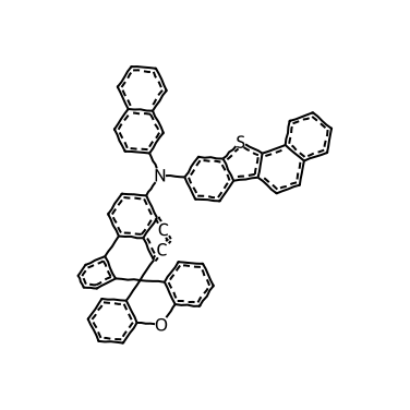 c1ccc2c(c1)Oc1ccccc1C21c2ccccc2-c2ccc(N(c3ccc4ccccc4c3)c3ccc4c(c3)sc3c5ccccc5ccc43)c3cccc1c23